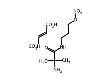 CC(C)(N)C(=O)NCCCO[N+](=O)[O-].O=C(O)C=CC(=O)O